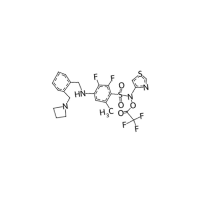 Cc1cc(NCc2ccccc2CN2CCC2)c(F)c(F)c1S(=O)(=O)N(OC(=O)C(F)(F)F)c1cscn1